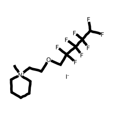 C[N+]1(CCOCC(F)(F)C(F)(F)C(F)(F)C(F)F)CCCCC1.[I-]